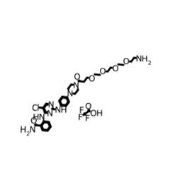 NCCOCCOCCOCCOCCC(=O)N1CCN(c2ccc(Nc3ncc(Cl)c(Nc4ccccc4C(N)=O)n3)cc2)CC1.O=C(O)C(F)(F)F